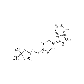 CCC1(CC)COC(CCN2CCN(c3noc4ccccc34)CC2)C1